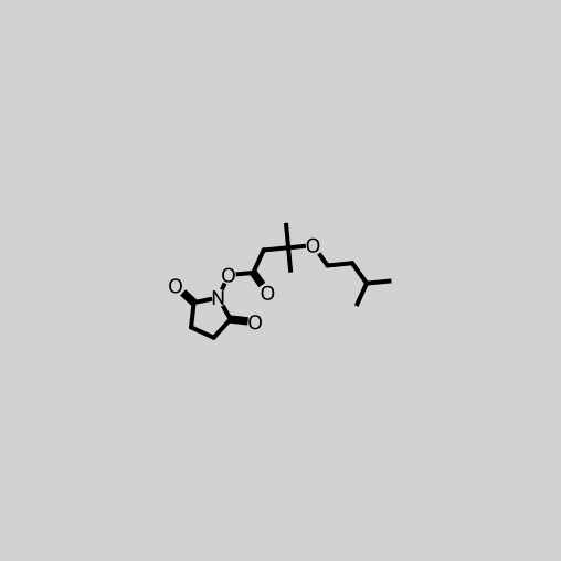 CC(C)CCOC(C)(C)CC(=O)ON1C(=O)CCC1=O